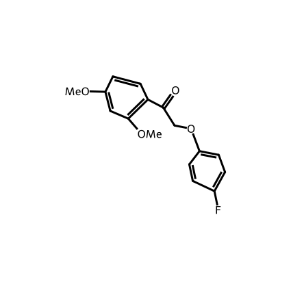 COc1ccc(C(=O)COc2ccc(F)cc2)c(OC)c1